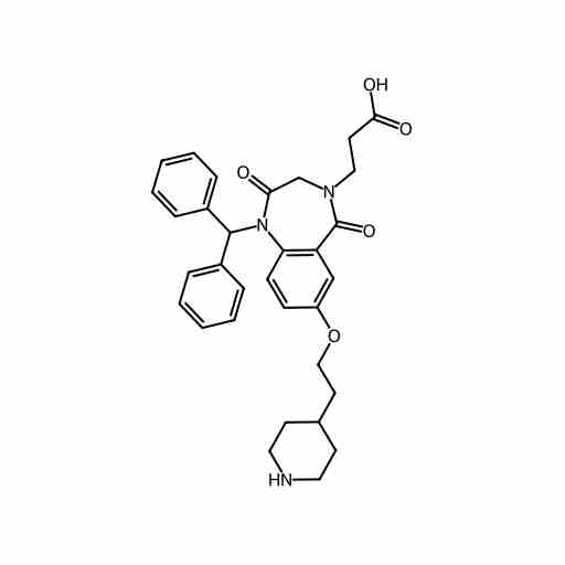 O=C(O)CCN1CC(=O)N(C(c2ccccc2)c2ccccc2)c2ccc(OCCC3CCNCC3)cc2C1=O